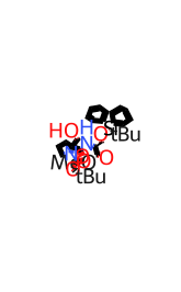 COC(=O)[C@H](CO[Si](c1ccccc1)(c1ccccc1)C(C)(C)C)NC(=O)C1(CO)CCCN1C(=O)OC(C)(C)C